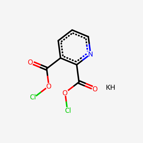 O=C(OCl)c1cccnc1C(=O)OCl.[KH]